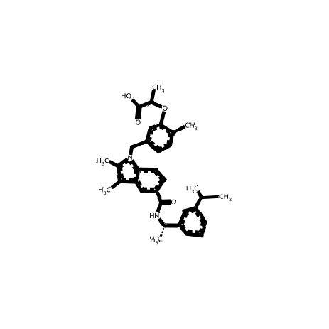 Cc1ccc(Cn2c(C)c(C)c3cc(C(=O)N[C@@H](C)c4cccc(C(C)C)c4)ccc32)cc1OC(C)C(=O)O